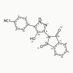 N#Cc1ccc(-c2[nH]nc(N3C(=O)c4ccccc4C3=O)c2O)cc1